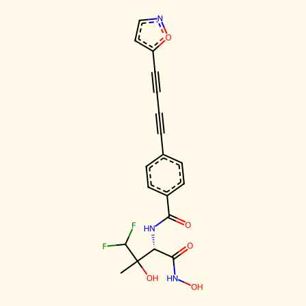 CC(O)(C(F)F)[C@H](NC(=O)c1ccc(C#CC#Cc2ccno2)cc1)C(=O)NO